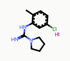 Cc1ccc(Cl)cc1NC(=N)N1CCCC1.I